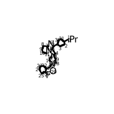 CC(C)c1ccc(-c2nc3ccccn3c2CN2CCN(C(=O)c3ccccc3F)CC2)cc1